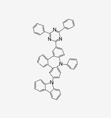 c1ccc(-c2nc(-c3ccccc3)nc(-c3ccc4c(c3)-c3ccccc3-c3cc(-n5c6ccccc6c6ccccc65)ccc3N4c3ccccc3)n2)cc1